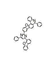 c1ccc(-c2cc(-c3cccc4c3oc3ccccc34)nc(-c3ccc4oc5c(ccc6c(-c7ccccc7)nc7ccccc7c65)c4c3)n2)cc1